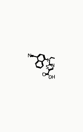 CCN(c1ncc(C(=O)O)s1)c1ccc(C#N)c2ccccc12